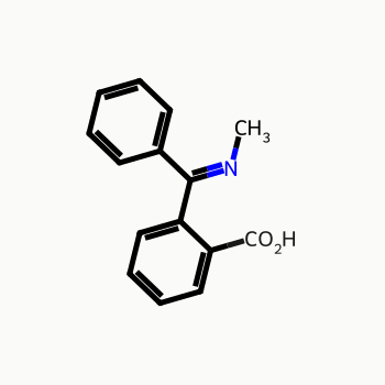 C/N=C(\c1ccccc1)c1ccccc1C(=O)O